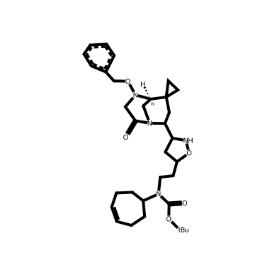 CC(C)(C)OC(=O)N(CCC1CC(C2CC3(CC3)[C@H]3CN2C(=O)CN3OCc2ccccc2)NO1)C1CCC=CCC1